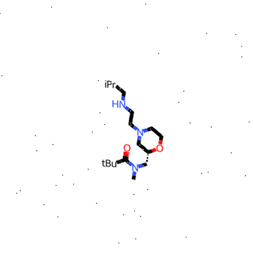 CC(C)CNCCN1CCO[C@H](CN(C)C(=O)C(C)(C)C)C1